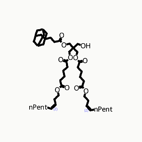 CCCCC/C=C\CCOC(=O)CCCCC(=O)OCC(CO)(COC(=O)CCCCC(=O)OCC/C=C\CCCCC)COC(=O)CCC12CC3CC(CC(C3)C1)C2